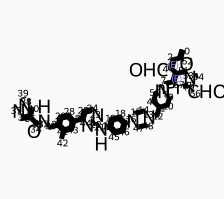 C=C/C=C(C=O)\C(=C/CN1CCC(CN2CCN(c3ccc(Nc4nccc(-c5ccc(CNC(=O)c6cnn(C)c6)c(C)c5)n4)cc3)CC2)CC1)C(=O)N(C)[C@@H](C=O)CCC